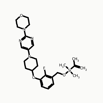 C=C(C)[Si](C)(C)OCc1cccc(OC2CCN(c3cnc(N4CCOCC4)nc3)CC2)c1F